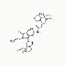 C=CCn1c(=O)c2cnc(Nc3cc4c5c(c3)CN(C)C(C)(C)C5CCC4)nc2n1-c1ccc2c(n1)C(O)(CC)CC2